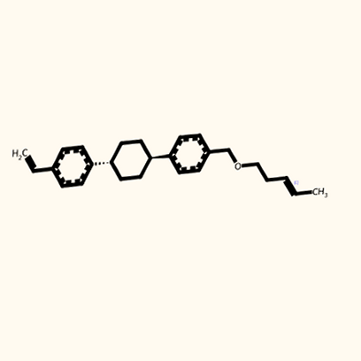 C=Cc1ccc([C@H]2CC[C@H](c3ccc(COCC/C=C/C)cc3)CC2)cc1